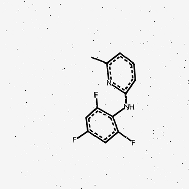 Cc1cccc(Nc2c(F)cc(F)cc2F)n1